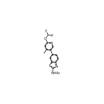 CC(=O)Nc1nc2ccc(-c3cnc(OC(F)F)cc3C)cc2s1